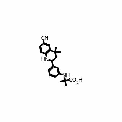 CC(C)(Nc1cccc(C2CC(C)(C)c3cc(C#N)ccc3N2)c1)C(=O)O